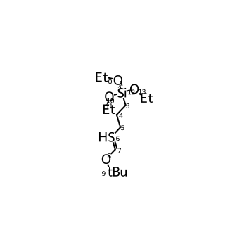 CCO[Si](CCC[SH]=COC(C)(C)C)(OCC)OCC